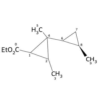 CCOC(=O)C1C(C)C1(C)C1C[C@H]1C